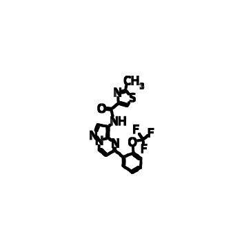 Cc1nc(C(=O)Nc2cnn3ccc(-c4ccccc4OC(F)(F)F)nc23)cs1